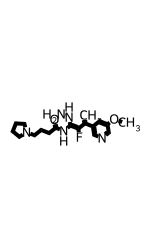 C=C(/C(F)=C(\NN)NC(=O)CCCN1CCCC1)c1cncc(OC)c1